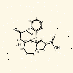 O=C1CC[C@@]2(Cc3ccccc3)C3=CC(C(=O)O)CN3CCC[C@H]2C1